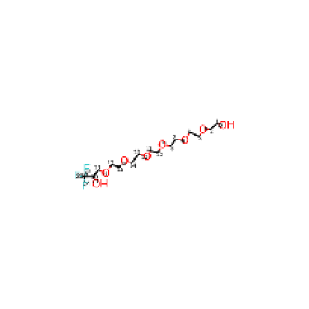 OCCOCCOCCOCCOCCOCCOCC(O)C(F)(F)F